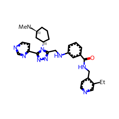 CCc1cnccc1CNC(=O)c1cccc(NCc2nnc(-c3ccncn3)n2[C@H]2CCC[C@H](NC)C2)c1